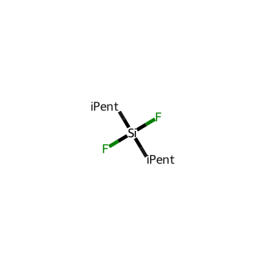 CCCC(C)[Si](F)(F)C(C)CCC